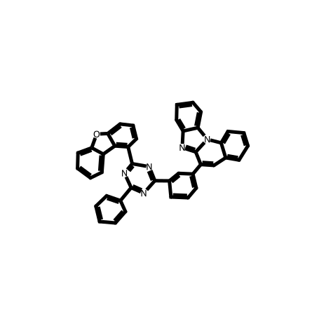 c1ccc(-c2nc(-c3cccc(-c4cc5ccccc5n5c4nc4ccccc45)c3)nc(-c3cccc4oc5ccccc5c34)n2)cc1